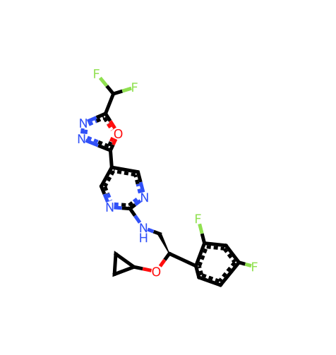 Fc1ccc([C@H](CNc2ncc(-c3nnc(C(F)F)o3)cn2)OC2CC2)c(F)c1